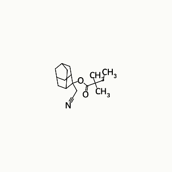 CCC(C)(C)C(=O)OC1(CC#N)C2CC3CC(C2)CC1C3